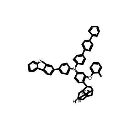 Cc1ccccc1Oc1cc(N(c2ccc(-c3ccc(-c4ccccc4)cc3)cc2)c2ccc(-c3ccc4c(c3)sc3ccccc34)cc2)ccc1C1CC2CC34C[C@@H]2C[C@@]13C4